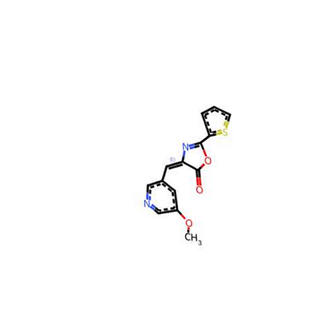 COc1cncc(/C=C2/N=C(c3cccs3)OC2=O)c1